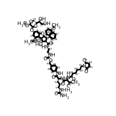 COc1ccc([C@@]23Oc4cc(O[C@@H]5O[C@@H]([C@H](O)CO)CO[C@H]5OC)cc(OC)c4[C@]2(O)[C@H](O)[C@H](C(=O)NCCNC(=O)OCc2ccc(NC(=O)[C@H](CCCNC(N)=O)NC(=O)[C@@H](NC(=O)CCCCCN4C(=O)C=CC4=O)C(C)C)cc2)[C@H]3c2ccccc2)cc1